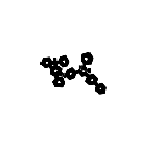 CC1(c2ccccc2)c2ccccc2-c2cc3c4ccccc4n(-c4ccc(-c5cc(-c6ccc(-c7ccccc7)cc6)nc(-c6ccccc6)n5)cc4)c3cc21